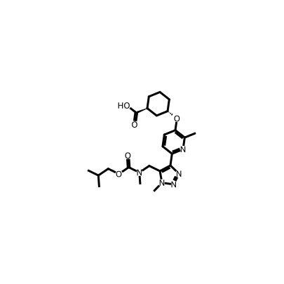 Cc1nc(-c2nnn(C)c2CN(C)C(=O)OCC(C)C)ccc1O[C@H]1CCC[C@H](C(=O)O)C1